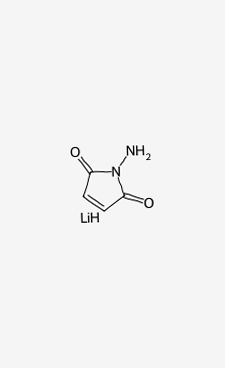 NN1C(=O)C=CC1=O.[LiH]